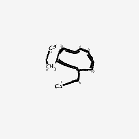 C[CH2][Cs].[Cs][CH2]c1ccccc1